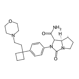 NC(=O)C1[C@H]2[CH]CCN2C(=O)N1c1ccc(C2(CCN3CCOCC3)CCC2)cc1